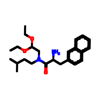 CCOC(CN(CCC(C)C)C(=O)[C@@H](N)Cc1ccc2ccccc2c1)OCC